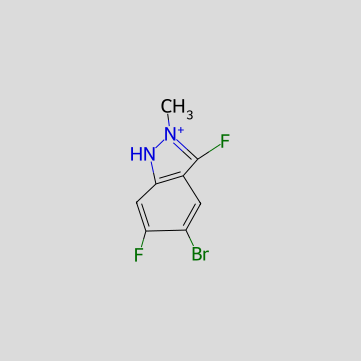 C[n+]1[nH]c2cc(F)c(Br)cc2c1F